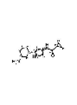 N[C@@H]1CCCN(c2cc(NC(=O)C3CC3)c[nH]2)C1